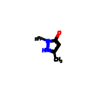 CCCn1[nH]c(C)cc1=O